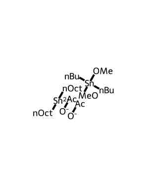 CC(=O)[O-].CC(=O)[O-].CCCCCCC[CH2][Sn+2][CH2]CCCCCCC.CCC[CH2][Sn]([CH2]CCC)([O]C)[O]C